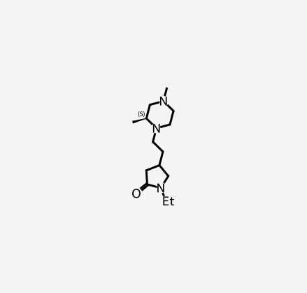 CCN1CC(CCN2CCN(C)C[C@@H]2C)CC1=O